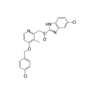 Cc1c(OCc2ccc(Cl)cc2)ccnc1C[S+]([O-])c1nc2cc(Cl)ccc2[nH]1